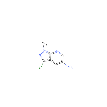 Cn1nc(Cl)c2cc(N)cnc21